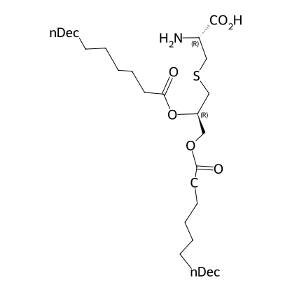 CCCCCCCCCCCCCCCC(=O)OC[C@H](CSC[C@H](N)C(=O)O)OC(=O)CCCCCCCCCCCCCCC